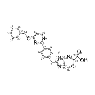 Cn1c(Cc2ccc(-c3nccc(OCc4ccccc4)n3)cc2)nc2ccc(C(=O)O)nc21